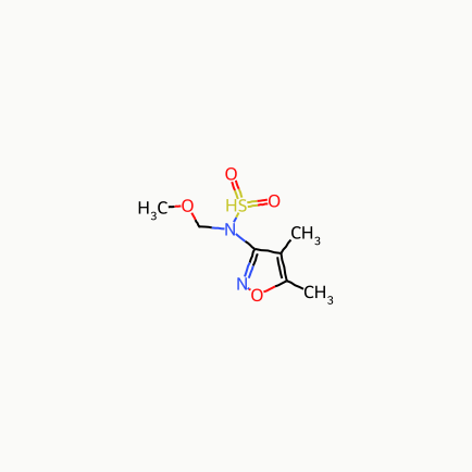 COCN(c1noc(C)c1C)[SH](=O)=O